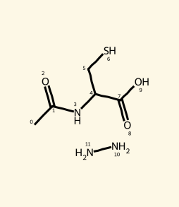 CC(=O)NC(CS)C(=O)O.NN